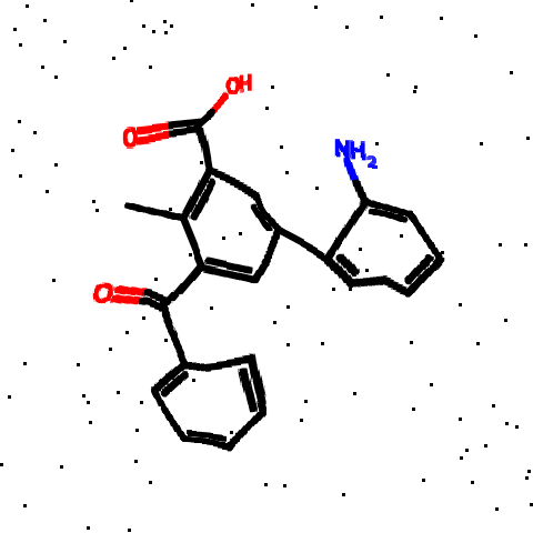 Cc1c(C(=O)O)cc(-c2ccccc2N)cc1C(=O)c1ccccc1